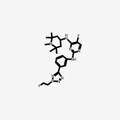 CN1C(C)(C)CC(Nc2nc(Nc3cccc(-c4nnn(CCF)n4)c3)ncc2F)CC1(C)C